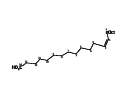 CCCCCCCC/C=C\CCCCCCCCCCCC(=O)O